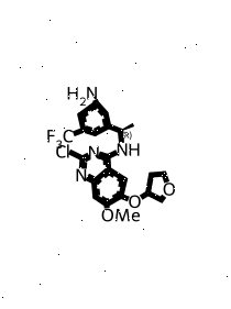 COc1cc2nc(Cl)nc(N[C@H](C)c3cc(N)cc(C(F)(F)F)c3)c2cc1OC1CCOC1